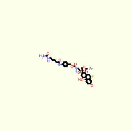 CCCC1OC[C@](C(=O)CNC(=O)OCc2ccc(NC(=O)CCCCNC(N)=O)cc2)([C@@]2(C)C[C@H](O)C3C(C[C@H](F)C4=CC(=O)C=C[C@@]43C)[C@@H]2CC)O1